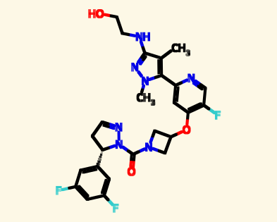 Cc1c(NCCO)nn(C)c1-c1cc(OC2CN(C(=O)N3N=CC[C@H]3c3cc(F)cc(F)c3)C2)c(F)cn1